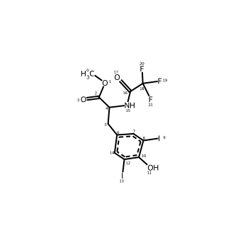 COC(=O)C(Cc1cc(I)c(O)c(I)c1)NC(=O)C(F)(F)F